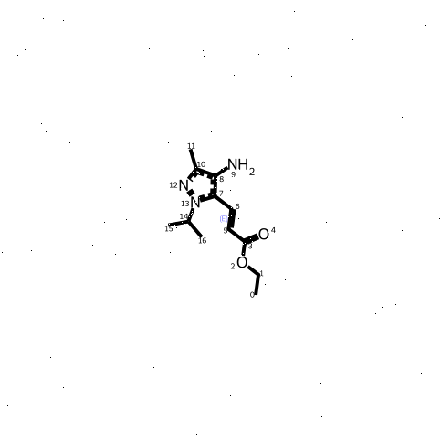 CCOC(=O)/C=C/c1c(N)c(C)nn1C(C)C